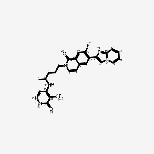 CC(CCCn1ccc2cc(-c3cn4ccccc4n3)c(F)cc2c1=O)Nc1cn[nH]c(=O)c1C(F)(F)F